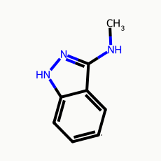 CNc1n[nH]c2cc[c]cc12